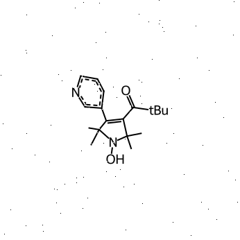 CC(C)(C)C(=O)C1=C(c2cccnc2)C(C)(C)N(O)C1(C)C